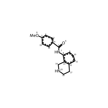 COc1ccc(C(=O)Nc2cccc3c2CNCC3)cc1